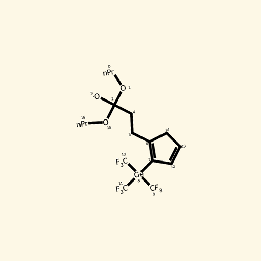 CCCOC([O])(CCC1=[C]([Ge]([C](F)(F)F)([C](F)(F)F)[C](F)(F)F)C=CC1)OCCC